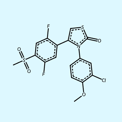 COc1ccc(-n2c(-c3cc(F)c(S(C)(=O)=O)cc3F)csc2=O)cc1Cl